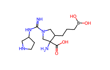 N=C(NC1CCNC1)N1CC(CCCB(O)O)C(N)(C(=O)O)C1